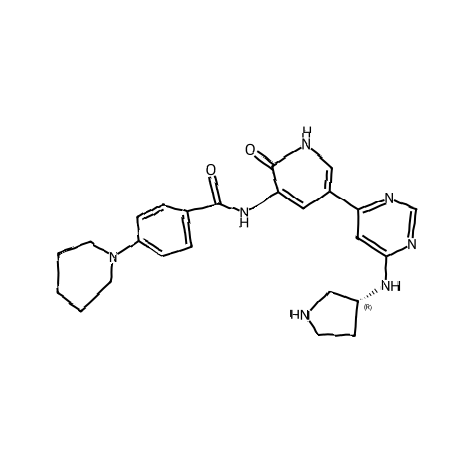 O=C(Nc1cc(-c2cc(N[C@@H]3CCNC3)ncn2)c[nH]c1=O)c1ccc(N2CCCCC2)cc1